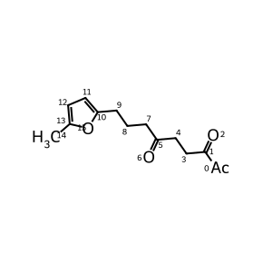 CC(=O)C(=O)CCC(=O)CCCc1ccc(C)o1